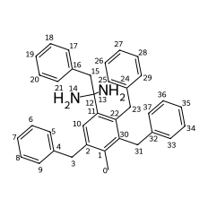 Cc1c(Cc2ccccc2)cc(C(N)(N)Cc2ccccc2)c(Cc2ccccc2)c1Cc1ccccc1